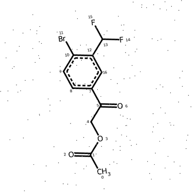 CC(=O)OCC(=O)c1ccc(Br)c(C(F)F)c1